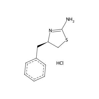 Cl.NC1=N[C@H](Cc2ccccc2)CS1